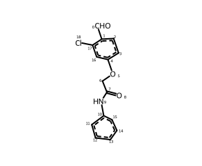 O=Cc1ccc(OCC(=O)Nc2ccccc2)cc1Cl